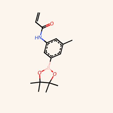 C=CC(=O)Nc1cc(C)cc(B2OC(C)(C)C(C)(C)O2)c1